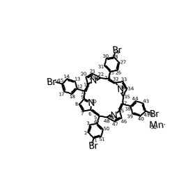 Brc1ccc(C2=C3C=CC(=N3)C(c3ccc(Br)cc3)=C3C=CC(=N3)C(c3ccc(Br)cc3)=C3C=CC(=N3)C(c3ccc(Br)cc3)=C3C=CC2=N3)cc1.[Mn]